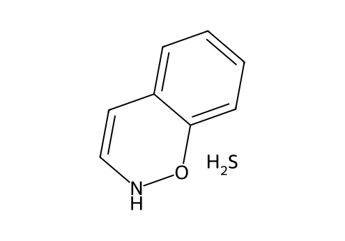 C1=Cc2ccccc2ON1.S